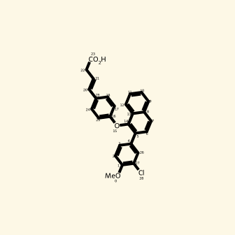 COc1ccc(-c2ccc3ccccc3c2Oc2ccc(C=CCC(=O)O)cc2)cc1Cl